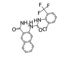 NC(=O)c1cc2ccccc2cc1NC(=O)Nc1c(Cl)cccc1C(F)(F)F